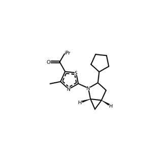 Cc1nc(N2C(C3CCCC3)C[C@@H]3C[C@@H]32)sc1C(=O)C(C)C